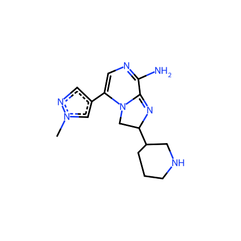 Cn1cc(C2=CN=C(N)C3=NC(C4CCCNC4)CN23)cn1